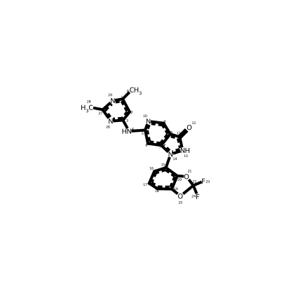 Cc1cc(Nc2cc3c(cn2)c(=O)[nH]n3-c2cccc3c2OC(F)(F)O3)nc(C)n1